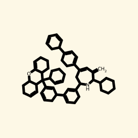 C=C1C=C(C2=CC=C(C3C=CC=CC3)CC2)CC(C2=CC(C3C=C(C4(C5C=CCCC5)C5CCCC=C5OC5CCC=CC54)C=CC3)=CCC2)NC1C1CCCCC1